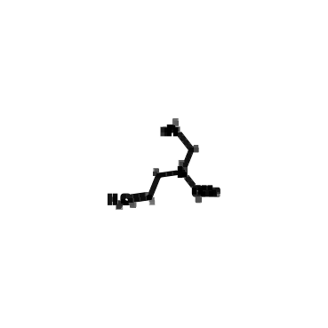 C=CCN(CCCC)OC